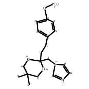 CCCCOc1ccc(CCC2(Cn3ccnc3)OCC(C)(C)CO2)cc1